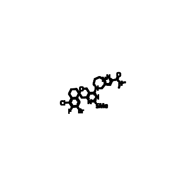 CSc1nc2c(c(N3CCCn4nc(C(=O)N(C)C)cc4C3)n1)COC1(CCCc3c1cc(Br)c(F)c3Cl)C2